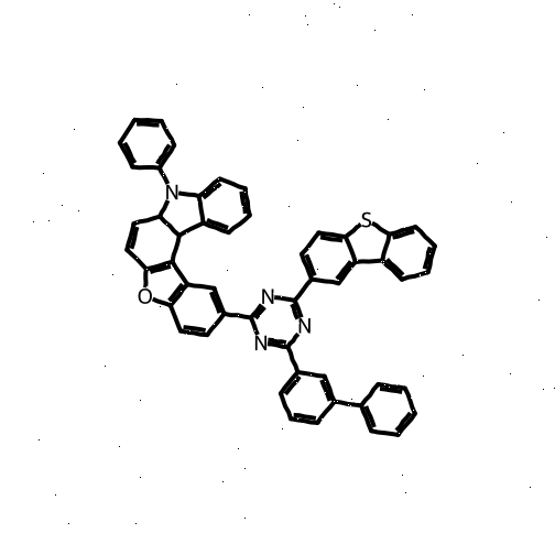 C1=CC2C(c3ccccc3N2c2ccccc2)c2c1oc1ccc(-c3nc(-c4cccc(-c5ccccc5)c4)nc(-c4ccc5sc6ccccc6c5c4)n3)cc21